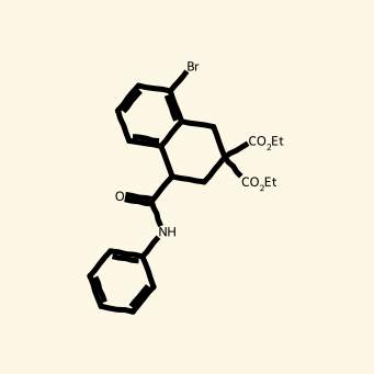 CCOC(=O)C1(C(=O)OCC)Cc2c(Br)cccc2C(C(=O)Nc2ccccc2)C1